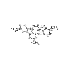 Cc1cc2c3c(c1)c1c(n3CCC(C)(c3ccnc(C)c3)C2)CCN(C)C1